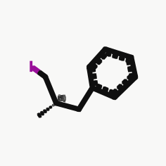 C[C@H](CI)Cc1ccccc1